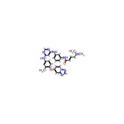 Cc1cc(Nc2cc(Nc3cccc(NC(=O)/C=C/CN(C)C)c3)ncn2)ccc1Oc1ccn2ncnc2c1